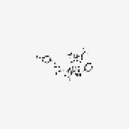 COc1ccc(COCC(=O)NCC(C)C(=O)N[C@@H](Cc2ccccc2)C(O)CN(CCC(C)C)C(=O)NC(C)(C)C)cc1